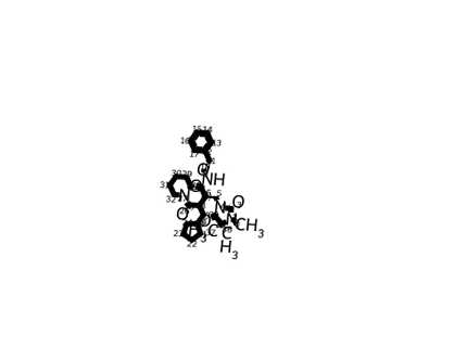 CN1C(=O)N(C[C@H](C(=O)NOCc2ccccc2)C(CC2CCCC2)C(=O)N2CCCCC2)C(=O)C1(C)C